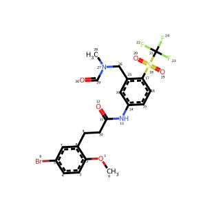 COc1ccc(Br)cc1CCC(=O)Nc1ccc(S(=O)(=O)C(F)(F)F)c(CN(C)C=O)c1